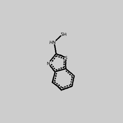 SNc1nc2ccccc2s1